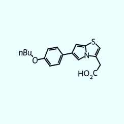 CCCCOc1ccc(-c2cc3scc(CC(=O)O)n3c2)cc1